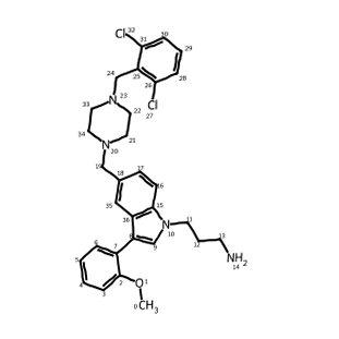 COc1ccccc1-c1cn(CCCN)c2ccc(CN3CCN(Cc4c(Cl)cccc4Cl)CC3)cc12